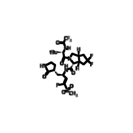 CC(C)(C)[C@H](NC(=O)C(F)(F)F)C(=O)N1C[C@@H]2CC(F)(F)C[C@@H]2[C@@H]1C(=O)N[C@@H](/C=C(\F)S(C)(=O)=O)C[C@H]1CCNC1=O